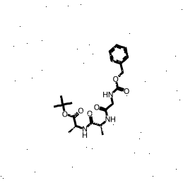 C[C@H](NC(=O)CNC(=O)OCc1ccccc1)C(=O)N[C@@H](C)C(=O)OC(C)(C)C